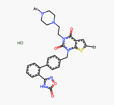 CCc1cc2c(=O)n(CCN3CCN(C(C)=O)CC3)c(=O)n(Cc3ccc(-c4ccccc4-c4noc(=O)[nH]4)cc3)c2s1.Cl